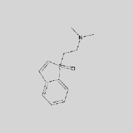 CN(C)CCP1(=O)C=Cc2ccccc21